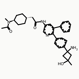 CC(=O)N(C)[C@H]1CC[C@H](CC(=O)Nc2cnc(-c3ccc(C4(N)CC(C)(O)C4)cc3)c(-c3ccccc3)c2)CC1